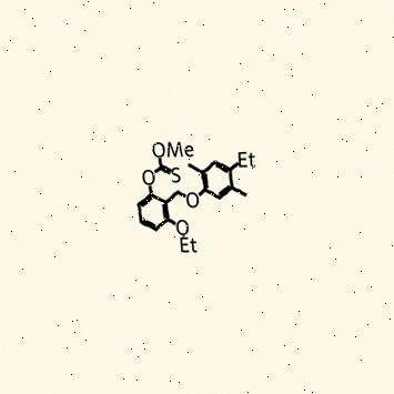 CCOc1cccc(OC(=S)OC)c1COc1cc(C)c(CC)cc1C